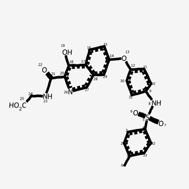 Cc1ccc(S(=O)(=O)Nc2ccc(Oc3ccc4c(O)c(C(=O)NCC(=O)O)ncc4c3)cc2)cc1